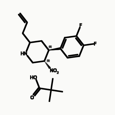 C=CCC1C[C@@H](c2ccc(F)c(F)c2)[C@H]([N+](=O)[O-])CN1.CC(C)(C)C(=O)O